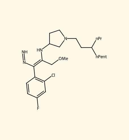 CCCCCC(CCC)CCN1CCC(N/C(COC)=C(\N=N)c2ccc(F)cc2Cl)C1